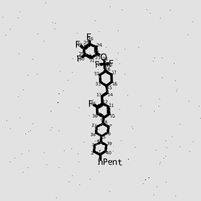 CCCCCC1CCC(C2CCC(c3ccc(CCC4CCC(C(F)(F)Oc5cc(F)c(F)c(F)c5)CC4)c(F)c3)CC2)CC1